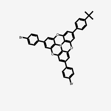 CC(C)(C)c1ccc(-c2cc3c4c(c2)Oc2cc(-c5ccc(Br)cc5)cc5c2N4c2c(cc(-c4ccc(Br)cc4)cc2O3)O5)cc1